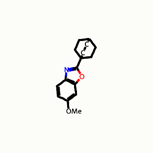 COc1ccc2nc(C34CCC(CC3)CC4)oc2c1